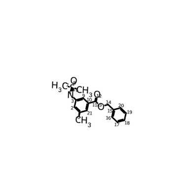 Cc1cc(N=S(C)(C)=O)cc(C(=O)OCc2ccccc2)c1